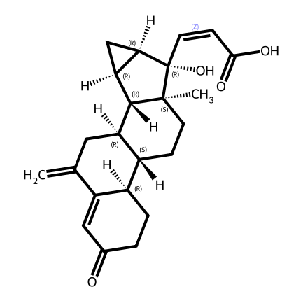 C=C1C[C@@H]2[C@H](CC[C@@]3(C)[C@H]2[C@H]2C[C@H]2[C@@]3(O)/C=C\C(=O)O)[C@H]2CCC(=O)C=C12